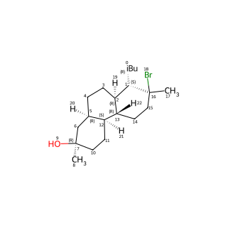 CC[C@@H](C)[C@H]1[C@@H]2CC[C@@H]3C[C@](C)(O)CC[C@@H]3[C@H]2CCC1(C)Br